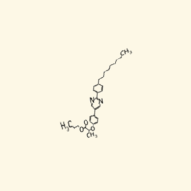 CCCCCCCCCc1ccc(-c2ncc(-c3ccc(OC(C)C(=O)OCCC)cc3)cn2)cc1